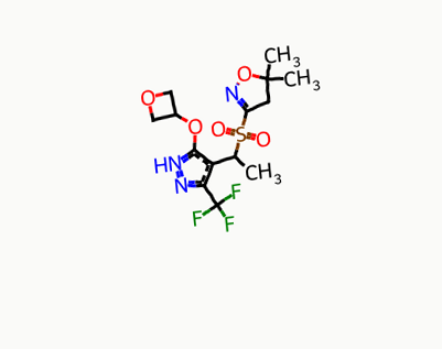 CC(c1c(C(F)(F)F)n[nH]c1OC1COC1)S(=O)(=O)C1=NOC(C)(C)C1